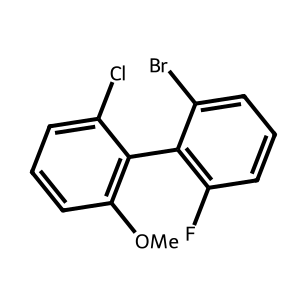 COc1cccc(Cl)c1-c1c(F)cccc1Br